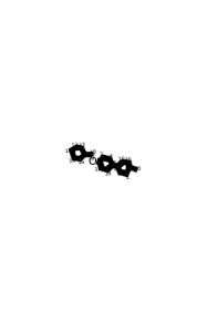 Cc1ccc(-c2ccc(OCC3CC[CH]CC3)cc2)cc1